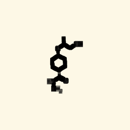 CC(CO)O[C@H]1CC[C@H](C(=O)NN)CC1